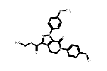 CCOC(=O)c1nn(-c2ccc(OC)cc2)c2c1CCN(c1ccc(NO)cc1)C2=O